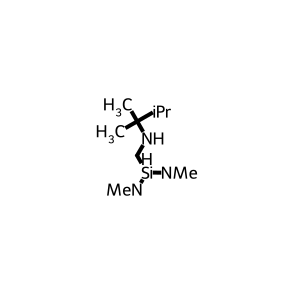 CN[SiH](CNC(C)(C)C(C)C)NC